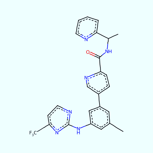 Cc1cc(Nc2nccc(C(F)(F)F)n2)cc(-c2ccc(C(=O)NC(C)c3ccccn3)nc2)c1